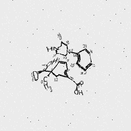 C[C@@]1(C(=O)O)C=CC=C(C(=O)O)C1.c1ccc(N2CCNCC2)cc1